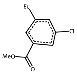 CCc1cc(Cl)cc(C(=O)OC)c1